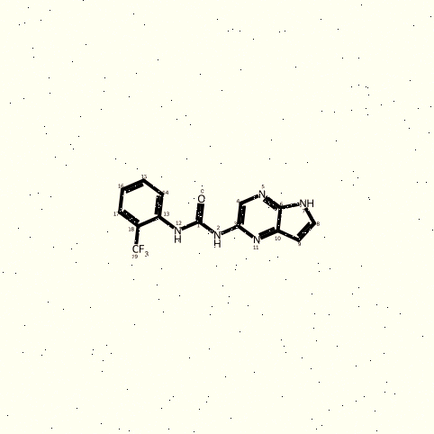 O=C(Nc1cnc2[nH]ccc2n1)Nc1ccccc1C(F)(F)F